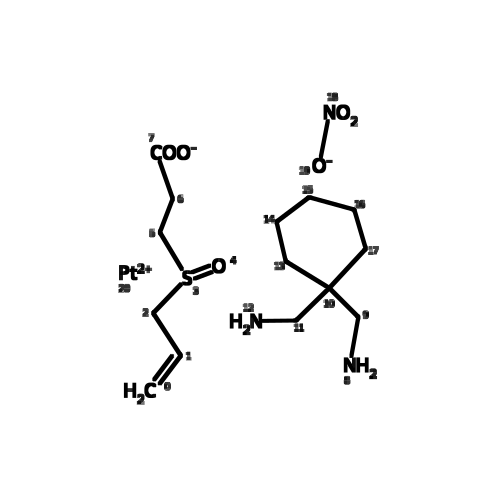 C=CCS(=O)CCC(=O)[O-].NCC1(CN)CCCCC1.O=[N+]([O-])[O-].[Pt+2]